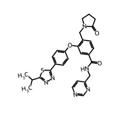 CC(C)c1nnc(-c2ccc(Oc3cc(C(=O)NCc4ccncn4)ccc3CN3CCCC3=O)cc2)s1